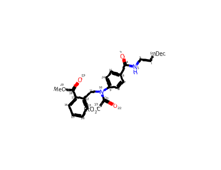 CCCCCCCCCCCCNC(=O)c1ccc(N(Cc2ccccc2C(=O)OC)C(=O)C(=O)OCC)cc1